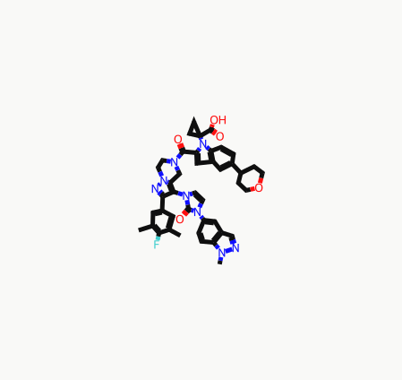 Cc1cc(-c2nn3c(c2-n2ccn(-c4ccc5c(cnn5C)c4)c2=O)CN(C(=O)c2cc4cc(C5CCOCC5)ccc4n2C2(C(=O)O)CC2)CC3)cc(C)c1F